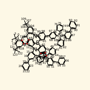 CC(C)(C)c1cc(-c2cc3c4c(c2)N(c2ccc(-c5ccccc5)cc2-c2ccccc2)c2cc([Si](c5ccccc5)(c5ccccc5)c5cccc(-c6ccccc6)c5)ccc2B4c2cc(-c4ccc([Si](c5ccccc5)(c5ccccc5)c5cccc(-c6ccccc6)c5)cc4)ccc2N3c2ccc(C(C)(C)C)cc2-c2ccccc2)cc(C(C)(C)C)c1